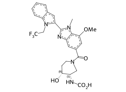 COc1cc(C(=O)N2CC[C@@H](O)[C@@H](NC(=O)O)C2)cc2nc(-c3cc4ccccc4n3CC(F)(F)F)n(C)c12